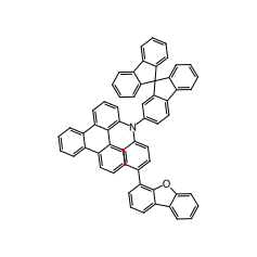 c1ccc2c(c1)-c1ccccc1C21c2ccccc2-c2ccc(N(c3ccc(-c4cccc5c4oc4ccccc45)cc3)c3cccc4c5ccccc5c5ccccc5c34)cc21